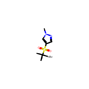 CCCCC(C)(C)S(=O)(=O)c1cnn(C)c1